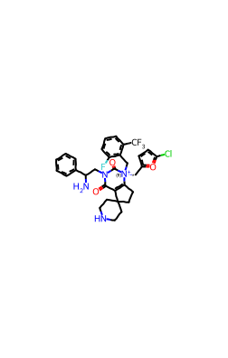 NC(CN1C(=O)C2=C(CCC23CCNCC3)[N@+](Cc2ccc(Cl)o2)(Cc2c(F)cccc2C(F)(F)F)C1=O)c1ccccc1